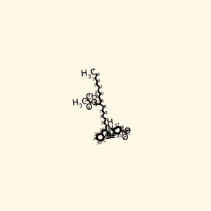 C=C(C)C(=O)OCC(CCCCCCCCCC)CCCCCCCC1=Cc2ccccc2[Se]C12Nc1ccc([N+](=O)[O-])cc1[Se]2